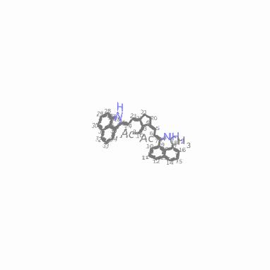 CC(=O)C(C(C)=O)=C1/C(=C\C=C(/N)c2cccc3cccc(C)c23)CC/C1=C/C=c1\[nH]c2cccc3cccc1c32